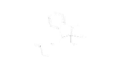 CCC(=O)O.CCCCCCC1(OC)N(CC)c2ccccc2N1OC